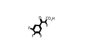 O=C(O)C(F)C(=O)c1cc(F)c(F)c(F)c1